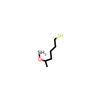 CC(CCCCS)O[SiH3]